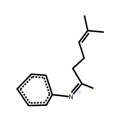 CC(C)=CCC/C(C)=N\c1ccccc1